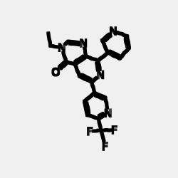 CCn1cnc2c(-c3cccnc3)nc(-c3ccc(C(F)(F)F)nc3)cc2c1=O